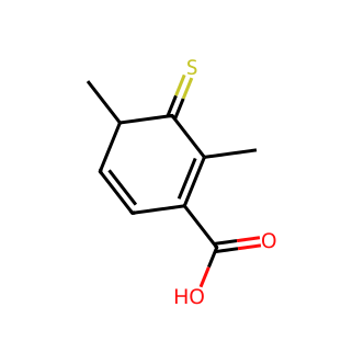 CC1=C(C(=O)O)C=CC(C)C1=S